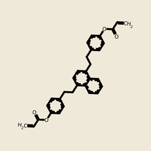 C=CC(=O)Oc1ccc(CCc2ccc(CCc3ccc(OC(=O)C=C)cc3)c3ccccc23)cc1